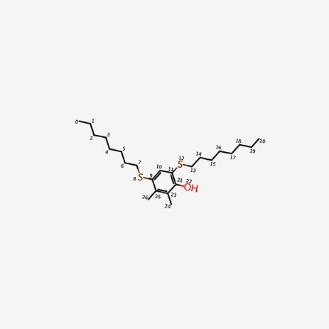 CCCCCCCCSc1cc(SCCCCCCCC)c(O)c(C)c1C